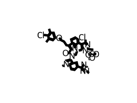 COS(=O)(=O)Cc1nc(C)c(-c2c(Cl)ccc3c(CCCOc4cc(C)c(Cl)c(C)c4)c4n(c23)[C@H](C)CN(c2cn(C)c3ccc(-c5ncn(C)n5)cc23)C4=O)c(C)n1